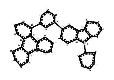 c1ccc(-n2c3ccccc3c3cc(-c4cccc(-c5cccc6c7ccccc7c7ccccc7c56)c4)ccc32)cc1